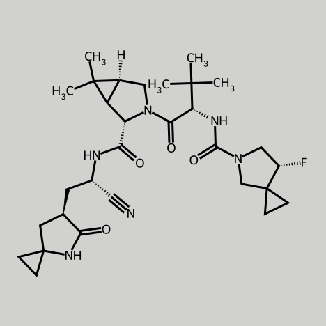 CC(C)(C)[C@H](NC(=O)N1C[C@H](F)C2(CC2)C1)C(=O)N1C[C@H]2C([C@H]1C(=O)N[C@H](C#N)C[C@@H]1CC3(CC3)NC1=O)C2(C)C